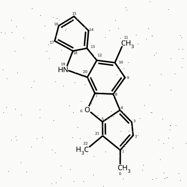 Cc1ccc2c(oc3c2cc(C)c2c4ccccc4[nH]c32)c1C